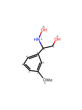 COc1cccc(C(CO)NO)c1